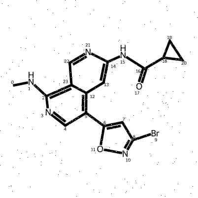 CNc1ncc(-c2cc(Br)no2)c2cc(NC(=O)C3CC3)ncc12